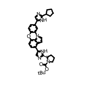 CC(C)(C)OC(=O)N1CCC[C@@H]1c1ncc(-c2ccc3c4c2ccn4-c2cc(-c4cnc(C5CCCC5)[nH]4)ccc2O3)[nH]1